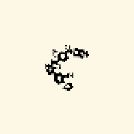 COc1cc(C(=O)N2CC3CN(C)CC3C2)ccc1-c1cc2nccc(-c3ccc(N4CCCC4)c(C#N)c3)c2o1